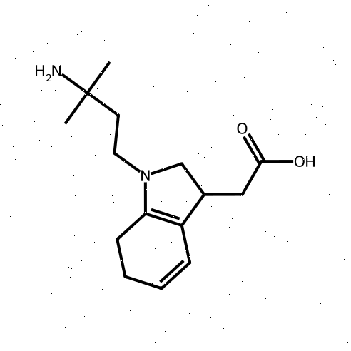 CC(C)(N)CCN1CC(CC(=O)O)C2=C1CCC=C2